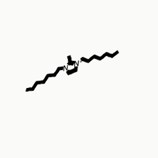 CCCCCCCn1cc[n+](CCCCCCC)c1C